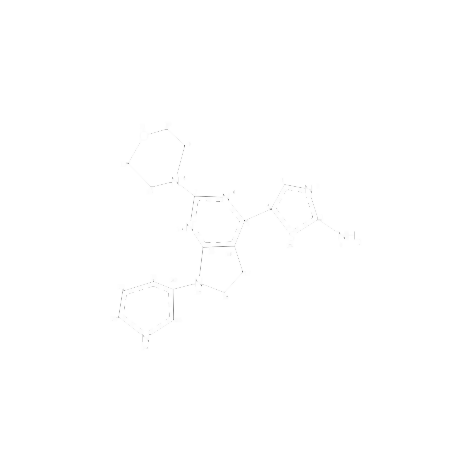 Nc1ncc(-c2nc(N3CCOCC3)nc3c2CCN3c2cccnc2)s1